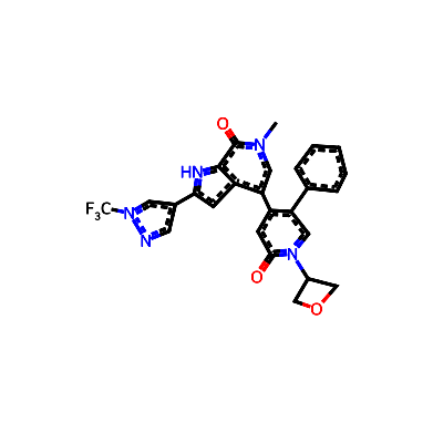 Cn1cc(-c2cc(=O)n(C3COC3)cc2-c2ccccc2)c2cc(-c3cnn(C(F)(F)F)c3)[nH]c2c1=O